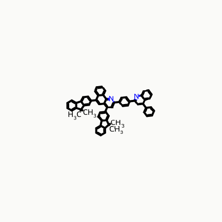 CC1(C)c2ccccc2-c2ccc(-c3cc4c(-c5ccc6c(c5)C(C)(C)c5ccccc5-6)cc(-c5ccc(-c6cc(-c7ccccc7)c7ccccc7n6)cc5)nc4c4ccccc34)cc21